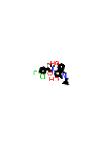 CC(C)CN(C(=O)Cc1ccc(Cl)c(Cl)c1)C1CC(O)C2CN(CC3CC3)CCC2(c2cccc(O)c2)C1